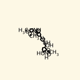 COc1ccc(NS(=O)(=O)c2ccc(N3CCC(NCC(O)c4ccc(O)c(NS(C)(=O)=O)c4)CC3)cc2)cc1OC